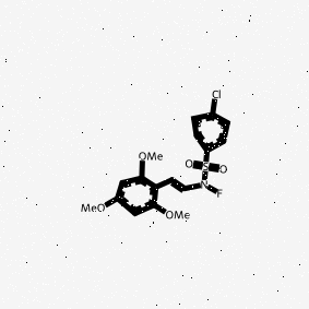 COc1cc(OC)c(C=CN(F)S(=O)(=O)c2ccc(Cl)cc2)c(OC)c1